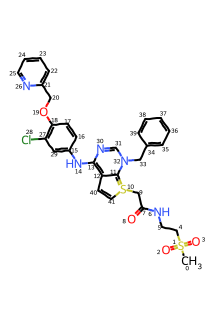 CS(=O)(=O)CCNC(=O)CS1=C2C(=C(Nc3ccc(OCc4ccccn4)c(Cl)c3)N=CN2Cc2ccccc2)C=C1